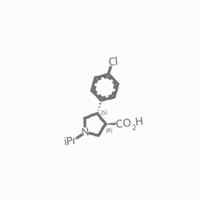 CC(C)N1C[C@H](C(=O)O)[C@@H](c2ccc(Cl)cc2)C1